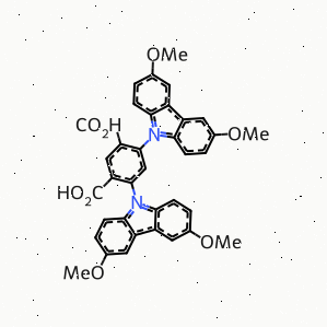 COc1ccc2c(c1)c1cc(OC)ccc1n2-c1cc(-n2c3ccc(OC)cc3c3cc(OC)ccc32)c(C(=O)O)cc1C(=O)O